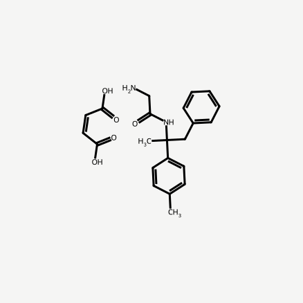 Cc1ccc(C(C)(Cc2ccccc2)NC(=O)CN)cc1.O=C(O)/C=C\C(=O)O